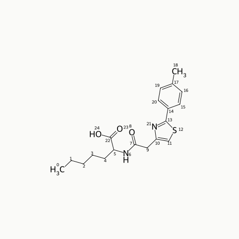 CCCCCC(NC(=O)Cc1csc(-c2ccc(C)cc2)n1)C(=O)O